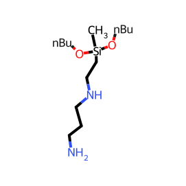 CCCCO[Si](C)(CCNCCCN)OCCCC